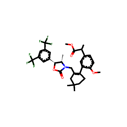 COC(=O)C(C)c1ccc(OC)c(C2=C(CN3C(=O)O[C@H](c4cc(C(F)(F)F)cc(C(F)(F)F)c4)[C@@H]3C)CC(C)(C)CC2)c1